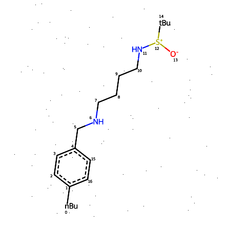 CCCCc1ccc(CNCCCCN[S+]([O-])C(C)(C)C)cc1